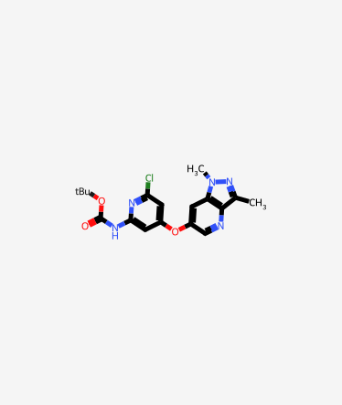 Cc1nn(C)c2cc(Oc3cc(Cl)nc(NC(=O)OC(C)(C)C)c3)cnc12